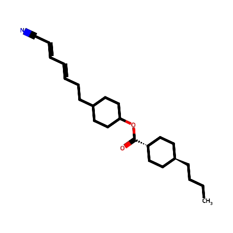 CCCC[C@H]1CC[C@H](C(=O)OC2CCC(CC/C=C/C=CC#N)CC2)CC1